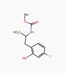 CC(C)(C)OC(=O)NC(Cc1ccc(F)cc1O)C(=O)O